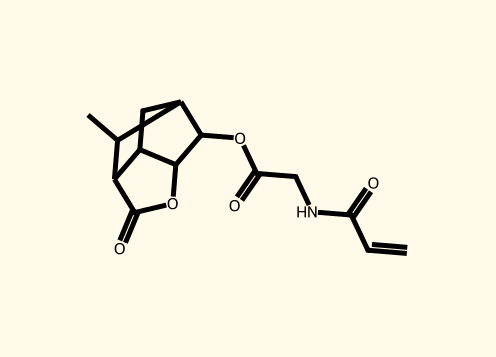 C=CC(=O)NCC(=O)OC1C2CC3C1OC(=O)C3C2C